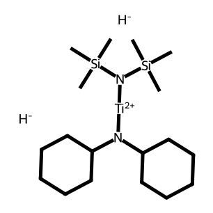 C[Si](C)(C)[N]([Ti+2][N](C1CCCCC1)C1CCCCC1)[Si](C)(C)C.[H-].[H-]